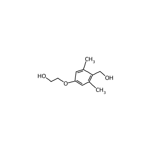 Cc1cc(OCCO)cc(C)c1CO